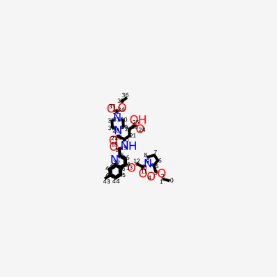 CCOC(=O)C1CCCN1C(=O)COc1cc(C(=O)NC(CCC(=O)O)C(=O)N2CCN(C(=O)OCC)CC2)nc2cc(C)ccc12